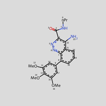 CCCNC(=O)c1nnc2c(-c3cc(OC)c(OC)c(OC)c3)cccc2c1N